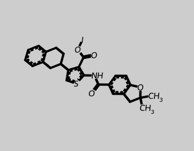 CC1(C)Cc2cc(C(=O)Nc3scc(C4CCc5ccccc5C4)c3C(=O)OI)ccc2O1